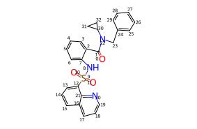 O=C(c1ccccc1NS(=O)(=O)c1cccc2cccnc12)N(Cc1ccccc1)C1CC1